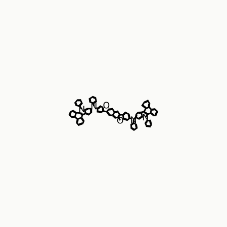 c1ccc(N(c2ccc3c(c2)oc2cc4cc5c(cc4cc23)oc2cc(N(c3ccccc3)c3ccc4c6c7ccccc7c7ccccc7c6n(-c6ccccc6)c4c3)ccc25)c2ccc3c4c5ccccc5c5ccccc5c4n(-c4ccccc4)c3c2)cc1